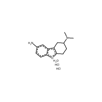 CN(C)C1CCc2oc3ccc(N)cc3c2C1.Cl.Cl.O